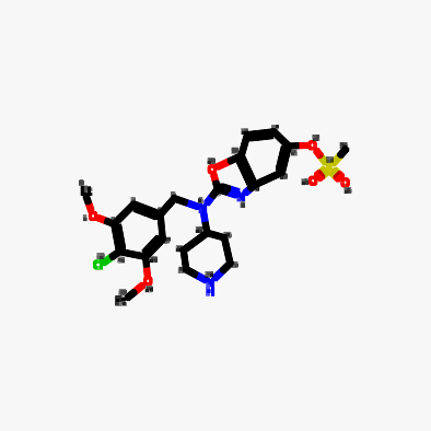 CCOc1cc(CN(c2nc3cc(OS(C)(=O)=O)ccc3o2)C2CCNCC2)cc(OCC)c1Cl